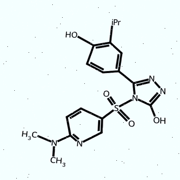 CC(C)c1cc(-c2nnc(O)n2S(=O)(=O)c2ccc(N(C)C)nc2)ccc1O